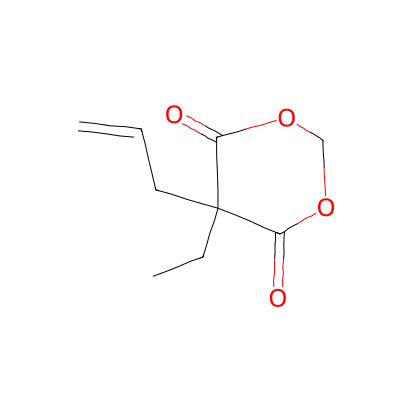 C=CCC1(CC)C(=O)OCOC1=O